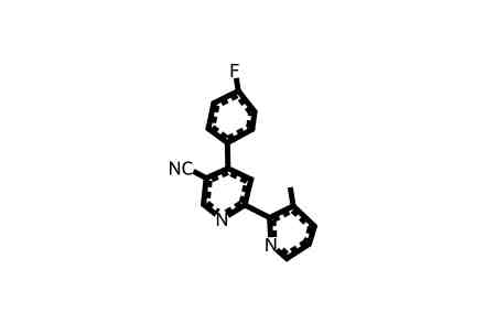 Cc1cccnc1-c1cc(-c2ccc(F)cc2)c(C#N)cn1